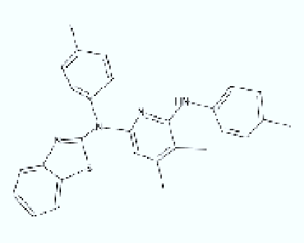 Cc1ccc(Nc2nc(N(c3ccc(C)cc3)c3nc4ccccc4s3)cc(C)c2C)cc1